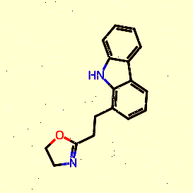 c1ccc2c(c1)[nH]c1c(CCC3=NCCO3)cccc12